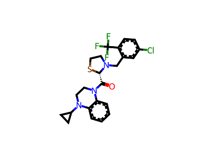 O=C([C@@H]1SCCN1Cc1cc(Cl)ccc1C(F)(F)F)N1CCN(C2CC2)c2ccccc21